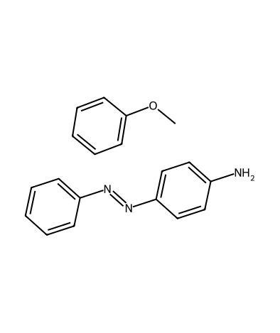 COc1ccccc1.Nc1ccc(N=Nc2ccccc2)cc1